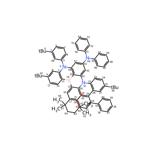 CC(C)(C)c1cccc(N2c3cc(C(C)(C)C)ccc3B3c4cc5c(cc4N(c4ccc(C(C)(C)C)cc4-c4ccccc4-c4ccccc4)c4cc(N(c6ccccc6)c6ccccc6)cc2c43)C(C)(C)CCC5(C)C)c1